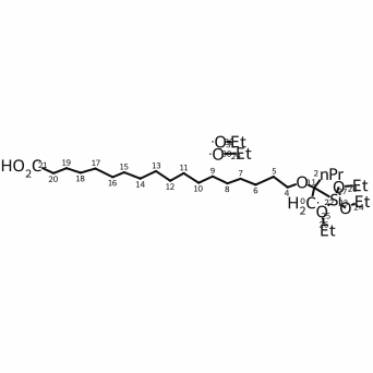 [CH2]C(CCC)(OCCCCCCCCCCCCCCCCCC(=O)O)[Si](OCC)(OCC)OCC.[CH2]C[O].[CH2]C[O]